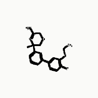 CC1(c2cccc(-c3ccc(F)c(OCC(F)(F)F)c3)c2)COCC(N)=N1